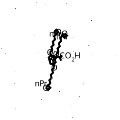 CCCC1(CCCCCCOC(=C(C)C(=O)O)C23CC4CC(OCCCCCCC5(CCC)CCO5)(CC(OCCCCCCC5(CCC)CCO5)(C4)C2)C3)CCO1